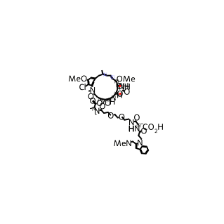 CNCc1cc2ccccc2n1CCC(=O)N[C@@H](CC(=O)O)C(=O)NCCOCCOCCC(=O)N(C)[C@@H](C)C(=O)O[C@H]1CC(=O)N(C)c2cc(cc(OC)c2Cl)C/C(C)=C/C=C/[C@@H](OC)[C@@]2(O)C[C@H](OC(=O)N2)[C@@H](C)[C@@H]2O[C@]12C